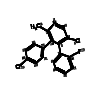 Cc1nnc(Cl)c(-c2ccccc2F)c1-c1ccc(Cl)cc1